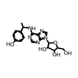 CC(Nc1ncnc2c1ncn2C1OC(CO)C(O)C1O)c1ccc(O)cc1